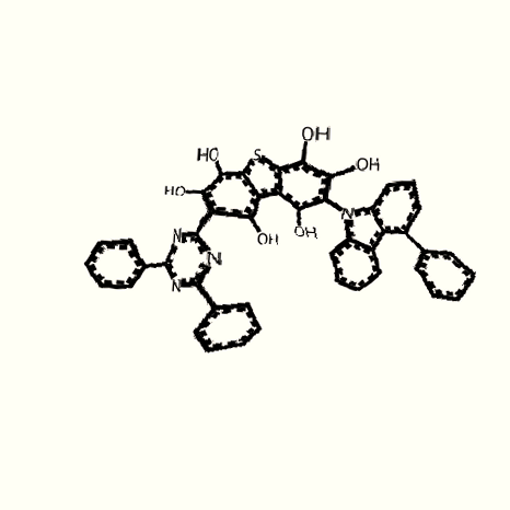 Oc1c(-c2nc(-c3ccccc3)nc(-c3ccccc3)n2)c(O)c2c(sc3c(O)c(O)c(-n4c5ccccc5c5c(-c6ccccc6)cccc54)c(O)c32)c1O